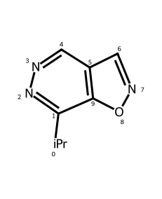 CC(C)c1nncc2cnoc12